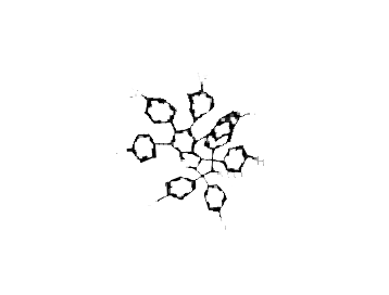 CCOC(=O)C1(C(=O)OCC)C(c2ccc(Br)cc2)(c2ccc(Br)cc2)c2oc3c(-c4ccc(Br)cc4)c(-c4ccc(Br)cc4)c(-c4ccc(Br)cc4)c(-c4ccc(Br)cc4)c3c2C1(c1ccc(Br)cc1)c1ccc(Br)cc1